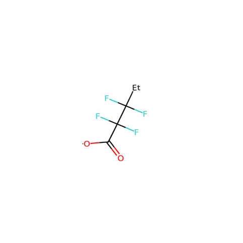 CCC(F)(F)C(F)(F)C([O])=O